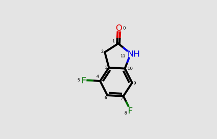 O=C1Cc2c(F)cc(F)cc2N1